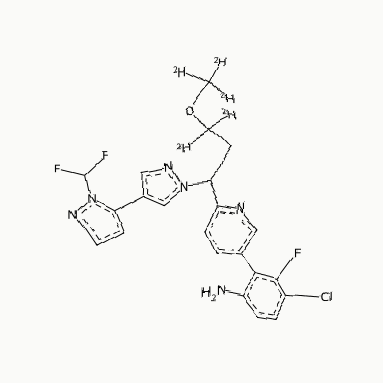 [2H]C([2H])([2H])OC([2H])([2H])CC(c1ccc(-c2c(N)ccc(Cl)c2F)cn1)n1cc(-c2ccnn2C(F)F)cn1